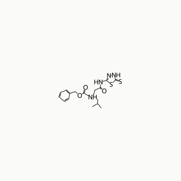 CC(C)C[C@@H](CC(=O)Nc1n[nH]c(=S)s1)NC(=O)OCc1ccccc1